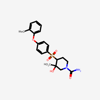 COc1ccccc1Oc1ccc(S(=O)(=O)C2CCN(C(N)=O)CC2(O)C(=O)O)cc1